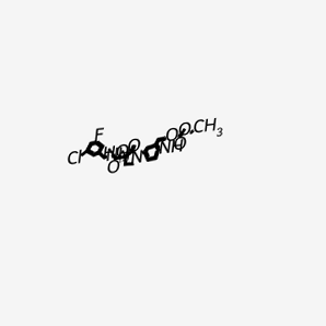 CCOC(=O)Oc1cc2cc(N3CC[C@](O)(C(=O)NCc4cc(F)cc(Cl)c4)C3=O)ccc2[nH]1